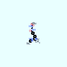 CC(=O)N1c2ccc(-c3ccc(C(=O)NCCNC(=O)OC(C)(C)C)cc3)cc2[C@H](Nc2ccc(C#N)cn2)C[C@@H]1C